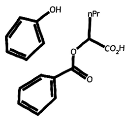 CCCC(OC(=O)c1ccccc1)C(=O)O.Oc1ccccc1